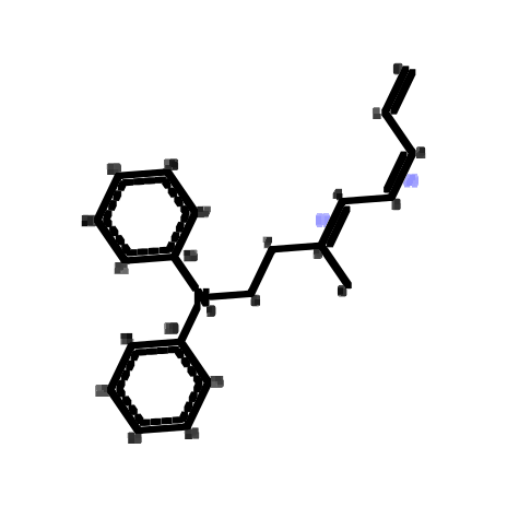 C=C/C=C\C=C(/C)CCN(c1ccccc1)c1ccccc1